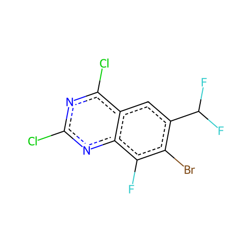 Fc1c(Br)c(C(F)F)cc2c(Cl)nc(Cl)nc12